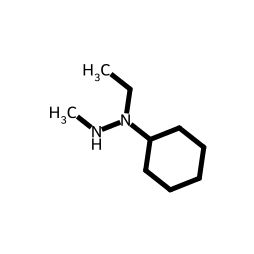 CCN(NC)C1CCCCC1